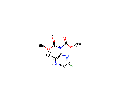 CC(C)(C)OC(=O)N(C(=O)OC(C)(C)C)c1nc(Cl)cnc1C(F)(F)F